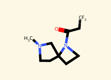 CN1CCC2(CCN2C(=O)CC(F)(F)F)C1